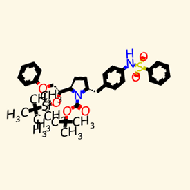 CC(C)(C)OC(=O)N1[C@@H](Cc2ccc(NS(=O)(=O)c3ccccc3)cc2)CC[C@@H]1[C@@H](COc1ccccc1)O[Si](C)(C)C(C)(C)C